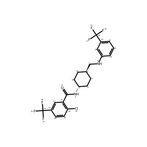 O=C(N[C@H]1CC[C@H](CNc2cccc(C(F)(F)F)c2)CC1)c1cc(C(F)(F)F)ccc1Cl